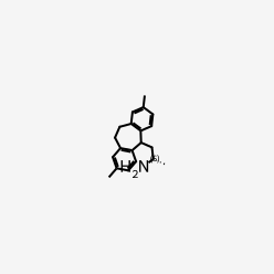 Cc1ccc2c(c1)CCc1cc(C)ccc1C2C[C@H](C)N